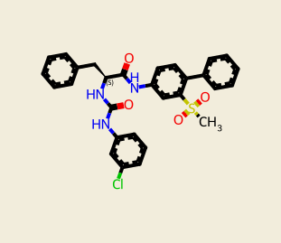 CS(=O)(=O)c1cc(NC(=O)[C@H](Cc2ccccc2)NC(=O)Nc2cccc(Cl)c2)ccc1-c1ccccc1